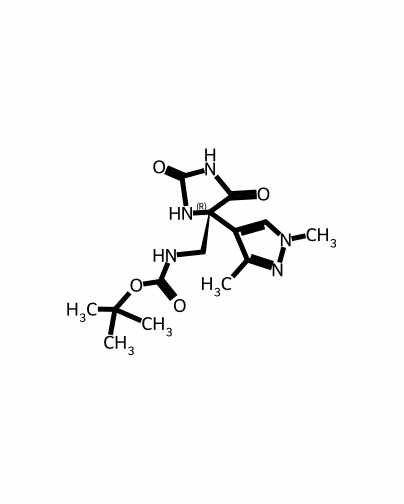 Cc1nn(C)cc1[C@]1(CNC(=O)OC(C)(C)C)NC(=O)NC1=O